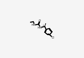 CCNC(=O)N[C@@H](C)c1ccc(Cl)cc1